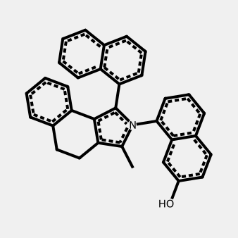 Cc1c2c(c(-c3cccc4ccccc34)n1-c1cccc3ccc(O)cc13)-c1ccccc1CC2